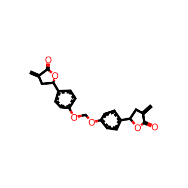 C=C1CC(c2ccc(OCOc3ccc(C4CC(=C)C(=O)O4)cc3)cc2)OC1=O